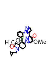 COc1cn(C2=C(F)C3=C(CC2)N(CC2CC2)C(=O)C3(C)C)nc(-c2ccnn2-c2ccccc2)c1=O